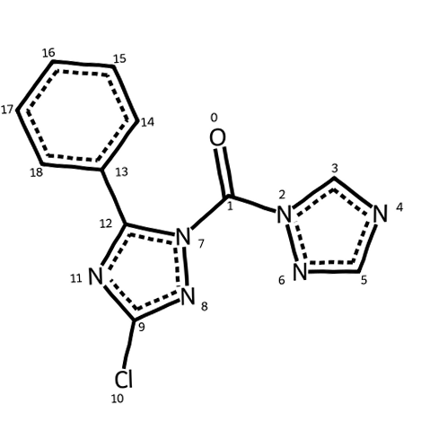 O=C(n1cncn1)n1nc(Cl)nc1-c1ccccc1